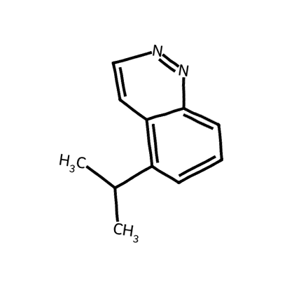 CC(C)c1cccc2nnccc12